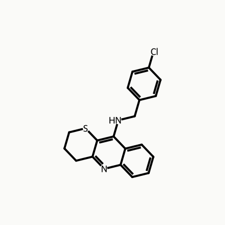 Clc1ccc(CNc2c3c(nc4ccccc24)CCCS3)cc1